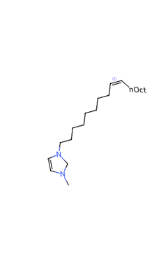 CCCCCCCC/C=C\CCCCCCCCN1C=CN(C)C1